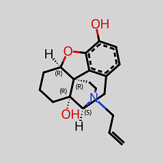 C=CCN1CC[C@@]23c4c5ccc(O)c4O[C@@H]2CCC[C@]3(O)[C@@H]1C5